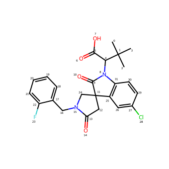 CC(C)(C)C(C(=O)O)N1C(=O)C2(CC(=O)N(Cc3ccccc3F)C2)c2cc(Cl)ccc21